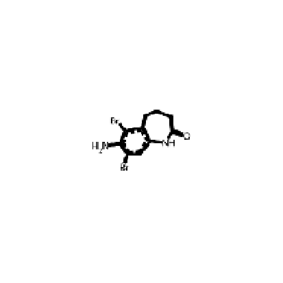 Nc1c(Br)cc2c(c1Br)CCCC(=O)N2